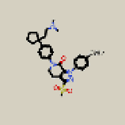 COc1ccc(-n2nc(S(C)(=O)=O)c3c2C(=O)N(c2ccc(C4(CCN(C)C)CCCC4)cc2)CC3)cc1